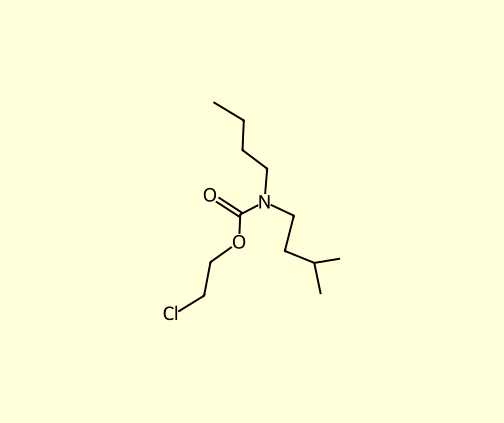 CCCCN(CCC(C)C)C(=O)OCCCl